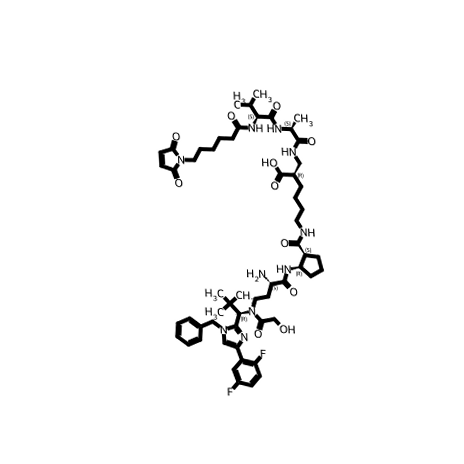 CC(C)[C@H](NC(=O)CCCCCN1C(=O)C=CC1=O)C(=O)N[C@@H](C)C(=O)NC[C@@H](CCCCNC(=O)[C@H]1CCC[C@H]1NC(=O)[C@@H](N)CCN(C(=O)CO)[C@@H](c1nc(-c2cc(F)ccc2F)cn1Cc1ccccc1)C(C)(C)C)C(=O)O